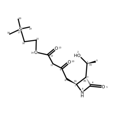 C[C@H](O)[C@@H]1C(=O)N[C@H]1CC(=O)CC(=O)OCC[Si](C)(C)C